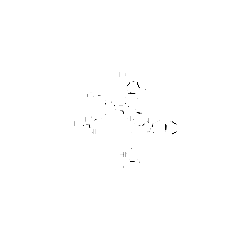 Cc1cc(O)cc(C)c1C[C@@H](NC(=O)[C@@H](CCCNC(=N)N)NC(=O)OC(C)(C)C)C(=O)N[C@@H](CCCCNC(=O)OC(C)(C)C)c1nc(Cc2ccccc2)no1